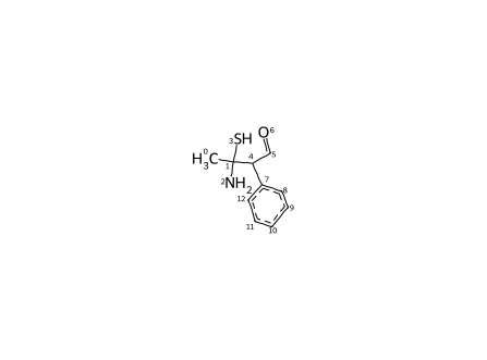 CC(N)(S)C(C=O)c1ccccc1